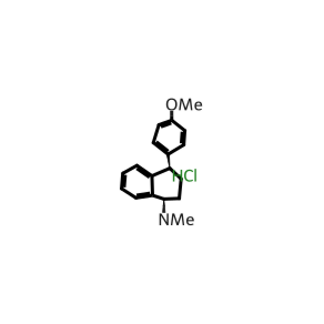 CN[C@@H]1CC[C@H](c2ccc(OC)cc2)c2ccccc21.Cl